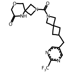 O=C1COCC2(CN(C(=O)N3CC4(CC(Cc5cnc(C(F)(F)F)nc5)C4)C3)C2)N1